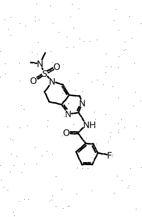 CN(C)S(=O)(=O)N1C=C2CN=C(NC(=O)c3cccc(F)c3)N=C2CC1